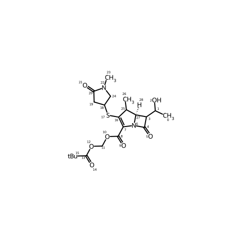 CC(O)C1C(=O)N2C(C(=O)OCOC(=O)C(C)(C)C)=C(SC3CC(=O)N(C)C3)C(C)[C@@H]12